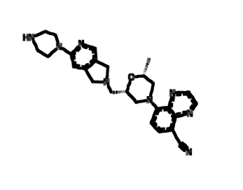 C[C@@H]1CN(c2ccc(C#N)c3nccnc23)C[C@H](CN2Cc3cnc(N4CCNCC4)cc3C2)O1